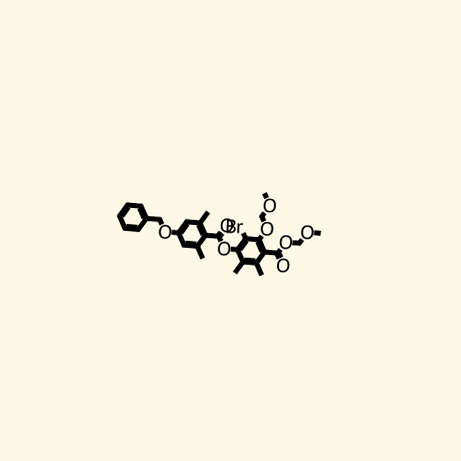 COCOC(=O)c1c(C)c(C)c(OC(=O)c2c(C)cc(OCc3ccccc3)cc2C)c(Br)c1OCOC